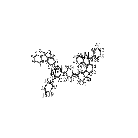 CC1(C)c2ccccc2-c2cc(-c3nc(-c4ccccc4)cc(-c4ccc(-c5ccc6sc7ccc8c(-c9ccccc9)nc9ccccc9c8c7c6c5)cc4)n3)ccc21